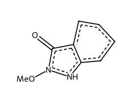 COn1[nH]c2ccccc2c1=O